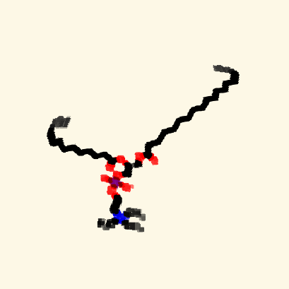 CCCCCCCC/C=C\CCCCCCCCCCCCCC(=O)OC[C@H](COP(=O)([O-])OCC[N+](C)(C)C)OC(=O)CCCCCCC/C=C\CCCCCCCC